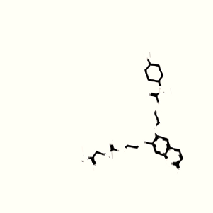 CNC(=O)CNC(=O)OCCOc1cc2oc(=O)ccc2cc1OCCOC(=O)NC1CCC(C)CC1